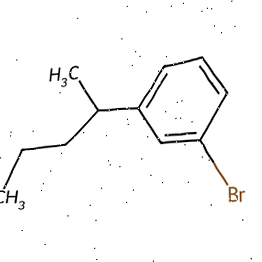 CCCC(C)c1cccc(Br)c1